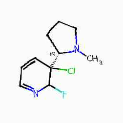 CN1CCC[C@H]1C1(Cl)C=CC=NC1F